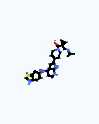 CC(C)=NCC1(C(=O)N2CC=C(c3cc4c(Nc5ccc6ncsc6c5)ccnc4[nH]3)CC2)CC1